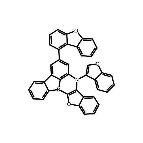 c1ccc2c(c1)B1c3oc4ccccc4c3N(c3coc4ccccc34)c3cc(-c4cccc5oc6ccccc6c45)cc-2c31